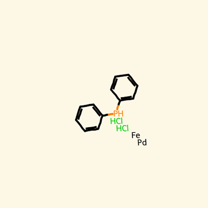 Cl.Cl.[Fe].[Pd].c1ccc(Pc2ccccc2)cc1